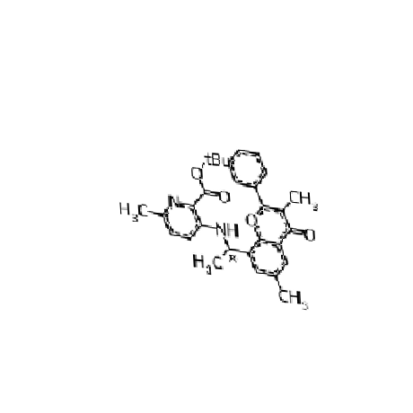 Cc1cc([C@@H](C)Nc2ccc(C)nc2C(=O)OC(C)(C)C)c2oc(-c3ccccc3)c(C)c(=O)c2c1